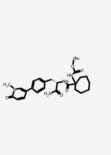 Cn1cc(-c2ccc(C[C@H](NC(=O)C3(NC(=O)OC(C)(C)C)CCCCCC3)C(N)=O)cc2)ccc1=O